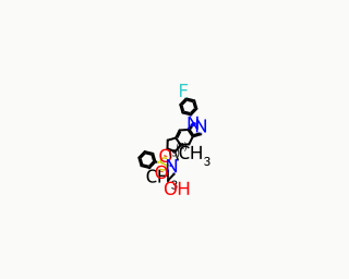 Cc1ccccc1S(=O)(=O)N(CCO)C[C@H]1CCC2=Cc3c(cnn3-c3ccc(F)cc3)C[C@@]21C